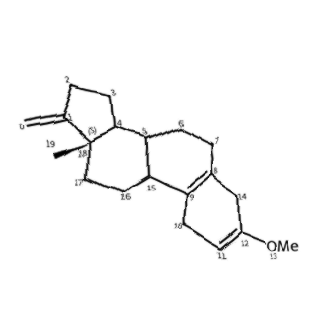 C=C1CCC2C3CCC4=C(CC=C(OC)C4)C3CC[C@]12C